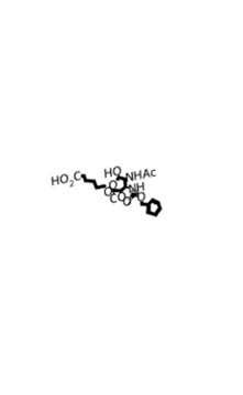 CC(=O)N[C@@H]1[C@@H](NC(=O)OCc2ccccc2)C[C@](OCCCCCC(=O)O)(C(=O)O)O[C@H]1O